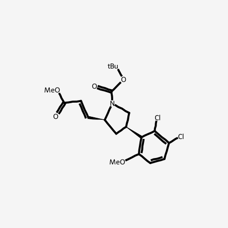 COC(=O)C=C[C@@H]1C[C@H](c2c(OC)ccc(Cl)c2Cl)CN1C(=O)OC(C)(C)C